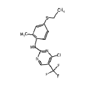 CCSc1ccc(Nc2ncc(C(F)(F)F)c(Cl)n2)c(C)c1